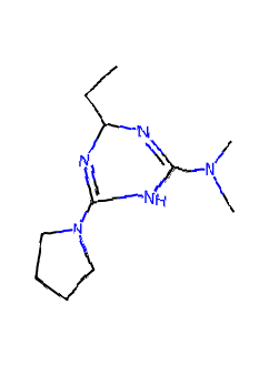 CCC1N=C(N(C)C)NC(N2CCCC2)=N1